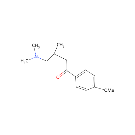 COc1ccc(C(=O)CC(C)CN(C)C)cc1